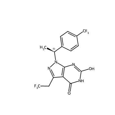 C[C@@H](c1ccc(C(F)(F)F)cc1)n1nc(CC(F)(F)F)c2c(=O)[nH]c(O)nc21